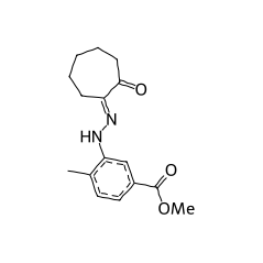 COC(=O)c1ccc(C)c(NN=C2CCCCCC2=O)c1